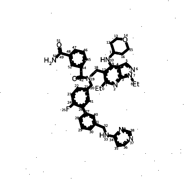 CCc1nc2c(cnn2CC)c(NC2CCOCC2)c1CN(Cc1ccc(F)c(-c2cccc(CNc3ccncn3)c2)c1)C(=O)c1cccc(C(N)=O)c1